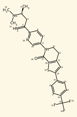 C[C@@H](CC(=N)c1ccc(N2CCc3cc(-c4ccc(C(F)(F)F)cc4)sc3C2=O)cn1)N(C)C